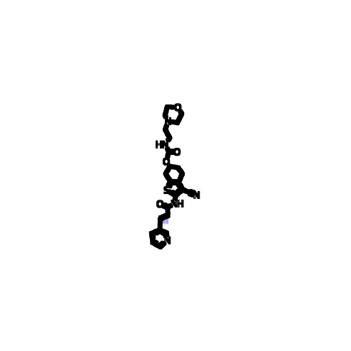 N#Cc1c(NC(=O)/C=C/c2cccnc2)sc2c1CCC(OC(=O)NCCN1CCOCC1)C2